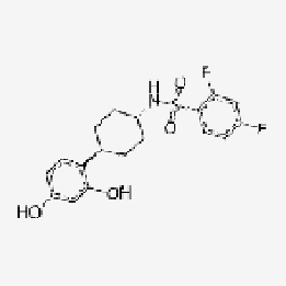 O=S(=O)(N[C@H]1CC[C@H](c2ccc(O)cc2O)CC1)c1ccc(F)cc1F